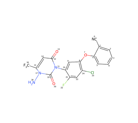 N#Cc1ccccc1Oc1cc(-n2c(=O)cc(C(F)(F)F)n(N)c2=O)c(F)cc1Cl